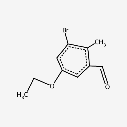 CCOc1cc(Br)c(C)c(C=O)c1